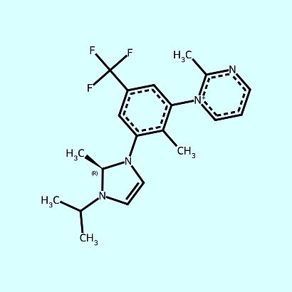 Cc1c(N2C=CN(C(C)C)[C@H]2C)cc(C(F)(F)F)cc1-[n+]1cccnc1C